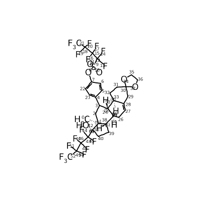 C[C@]12CC(c3ccc(OS(=O)(=O)C(F)(F)C(F)(F)C(F)(F)C(F)(F)F)cc3)[C@H]3[C@@H](CC=C4CC5(CC[C@@H]43)OCCO5)[C@@H]1CC[C@@]2(O)C(F)(F)C(F)(F)C(F)(F)C(F)(F)F